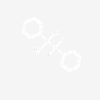 CCC(C)(c1ccccc1)C(F)(F)c1ccccc1